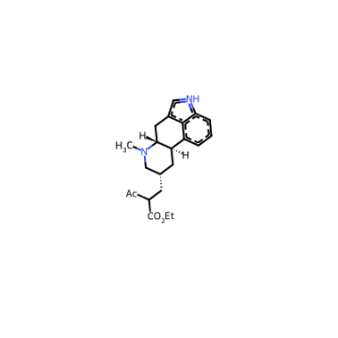 CCOC(=O)C(C[C@H]1C[C@@H]2c3cccc4[nH]cc(c34)C[C@H]2N(C)C1)C(C)=O